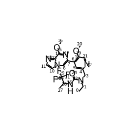 CCN(Cc1cc(-c2cn3ccnc3c(OC)n2)c(OC)cn1)C(=O)NC(C)C(F)(F)F